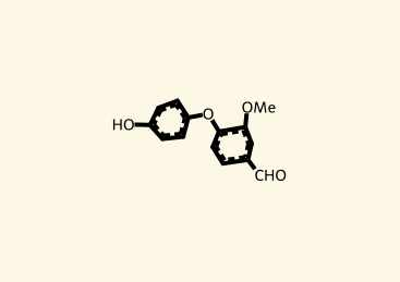 COc1cc(C=O)ccc1Oc1ccc(O)cc1